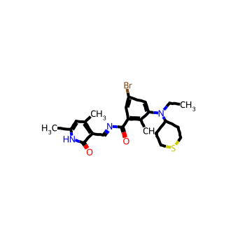 CCN(c1cc(Br)cc(C(=O)N=Cc2c(C)cc(C)[nH]c2=O)c1C)C1CCSCC1